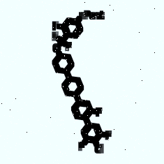 CCCCCc1ccc(C(F)(F)OC2CCC(C3CCC(c4ccc(-c5cc(F)c(Cl)c(F)c5)c(F)c4)CC3)CC2)c(F)c1